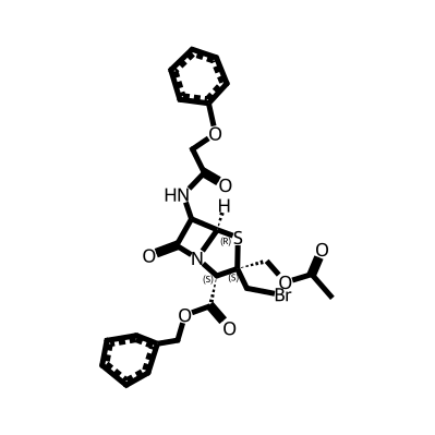 CC(=O)OC[C@@]1(CBr)S[C@@H]2C(NC(=O)COc3ccccc3)C(=O)N2[C@H]1C(=O)OCc1ccccc1